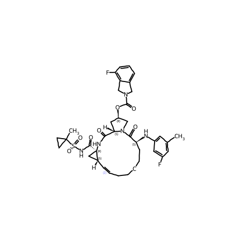 Cc1cc(F)cc(N[C@H]2CCCCC/C=C\[C@@H]3C[C@@]3(C(=O)NS(=O)(=O)C3(C)CC3)NC(=O)[C@@H]3C[C@@H](OC(=O)N4Cc5cccc(F)c5C4)CN3C2=O)c1